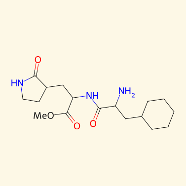 COC(=O)C(CC1CCNC1=O)NC(=O)C(N)CC1CCCCC1